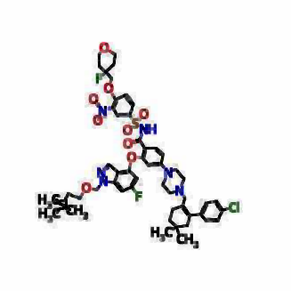 CC1(C)CCC(CN2CCN(c3ccc(C(=O)NS(=O)(=O)c4ccc(OCC5(F)CCOCC5)c([N+](=O)[O-])c4)c(Oc4cc(F)cc5c4cnn5COCC[Si](C)(C)C)c3)CC2)=C(c2ccc(Cl)cc2)C1